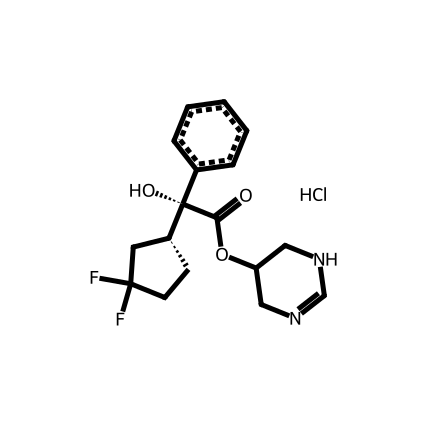 Cl.O=C(OC1CN=CNC1)[C@](O)(c1ccccc1)[C@@H]1CCC(F)(F)C1